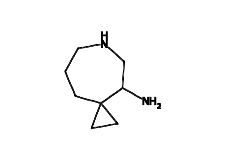 NC1CNCCCC12CC2